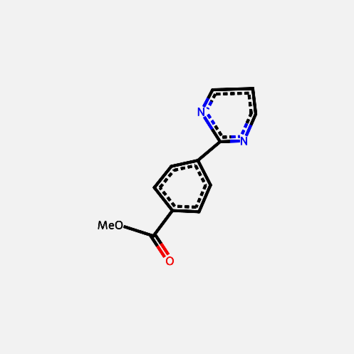 COC(=O)c1ccc(-c2ncccn2)cc1